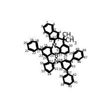 CC1(C)c2cc3ccccc3cc2N2c3cc(-c4ccccc4)cc4c3B(c3cccc1c32)N(c1cc(-c2ccccc2)cc(-c2ccccc2)c1)c1ccccc1-4